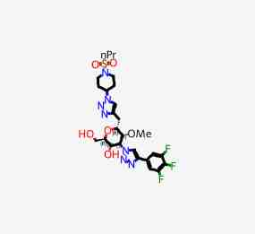 CCCS(=O)(=O)N1CCC(n2cc(C[C@H]3O[C@H](CO)[C@H](O)[C@H](n4cc(-c5cc(F)c(F)c(F)c5)nn4)[C@H]3OC)nn2)CC1